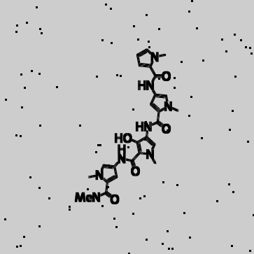 CNC(=O)c1cc(NC(=O)c2c(O)c(NC(=O)c3cc(NC(=O)c4cccn4C)cn3C)cn2C)cn1C